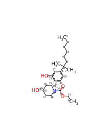 CCCCCCC(C)(C)c1ccc([C@H]2C[C@@H](O)CCN2C(=O)OCC)c(O)c1